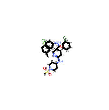 Cc1ccc(F)cc1[C@H]1N=C(NC2CCN(S(C)(=O)=O)CC2)C[C@@H](c2cccc(Cl)c2)[C@]12C(=O)Nc1cc(Cl)ccc12